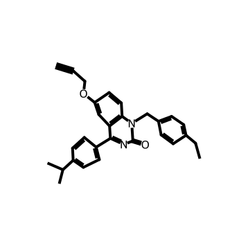 C#CCOc1ccc2c(c1)c(-c1ccc(C(C)C)cc1)nc(=O)n2Cc1ccc(CC)cc1